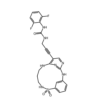 O=C(NCC#Cc1cnc2nc1NCCCNS(=O)(=O)c1cccc(c1)N2)Nc1c(F)cccc1F